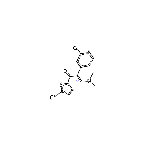 CN(C)/C=C(/C(=O)c1ccc(Cl)s1)c1ccnc(Cl)c1